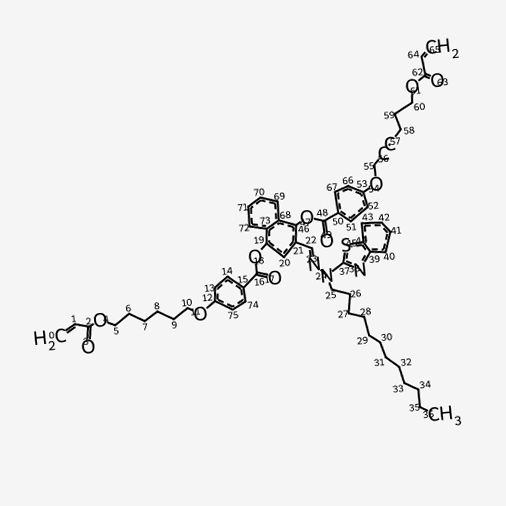 C=CC(=O)OCCCCCCOc1ccc(C(=O)Oc2cc(/C=N/N(CCCCCCCCCCCC)c3nc4ccccc4s3)c(OC(=O)c3ccc(OCCCCCCOC(=O)C=C)cc3)c3ccccc23)cc1